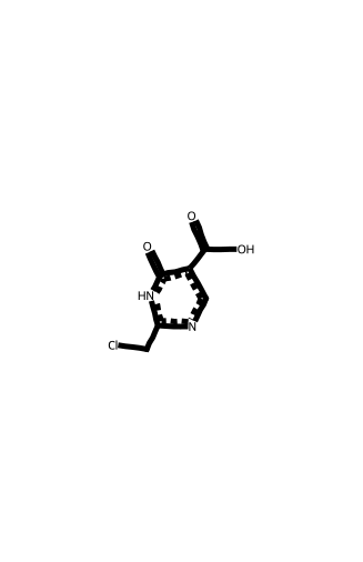 O=C(O)c1cnc(CCl)[nH]c1=O